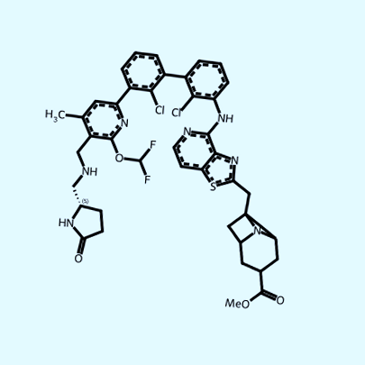 COC(=O)C1CC2CC3(Cc4nc5c(Nc6cccc(-c7cccc(-c8cc(C)c(CNC[C@@H]9CCC(=O)N9)c(OC(F)F)n8)c7Cl)c6Cl)nccc5s4)C(C1)N23